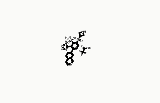 NS(=O)(=O)c1c(S(=O)(=O)C2CNC2)ccc(-c2ccc3ccncc3c2)c1-c1nnn[nH]1.O=C(O)C(F)(F)F